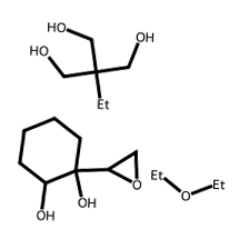 CCC(CO)(CO)CO.CCOCC.OC1CCCCC1(O)C1CO1